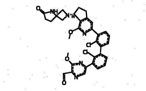 COc1nc(-c2cccc(-c3cccc(-c4cc5c(c(OC)n4)[C@H](N4CC6(CCC(=O)N6)C4)CC5)c3Cl)c2Cl)cnc1C=O